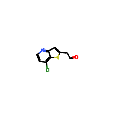 O=CCc1cc2nccc(Cl)c2s1